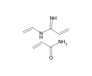 C=CC(N)=O.C=CNC(=N)C=C